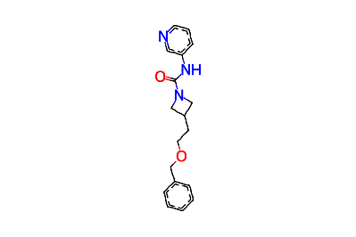 O=C(Nc1cccnc1)N1CC(CCOCc2ccccc2)C1